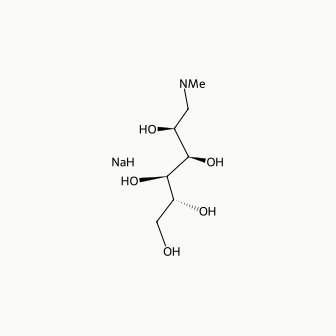 CNC[C@H](O)[C@@H](O)[C@H](O)[C@H](O)CO.[NaH]